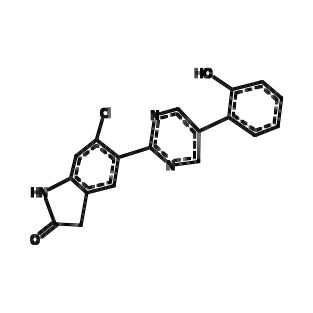 O=C1Cc2cc(-c3ncc(-c4ccccc4O)cn3)c(Cl)cc2N1